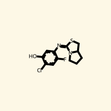 Oc1cc(/N=C2/SCC3CCCN23)c(F)cc1Cl